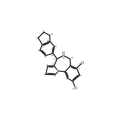 Clc1cc(Cl)c2c(c1)-n1cccc1C(c1ccc3c(c1)CCC3)NC2